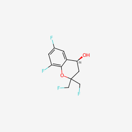 O[C@H]1CC(CF)(CF)Oc2c(F)cc(F)cc21